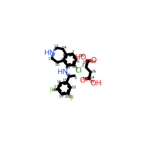 CC(Nc1c(Cl)ccc2c1CCNCC2)c1cc(F)cc(F)c1.O=C(O)CCC(=O)O